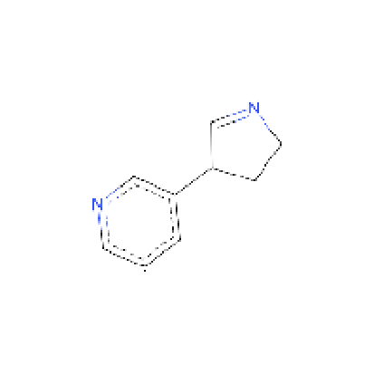 [c]1cncc(C2C=NCC2)c1